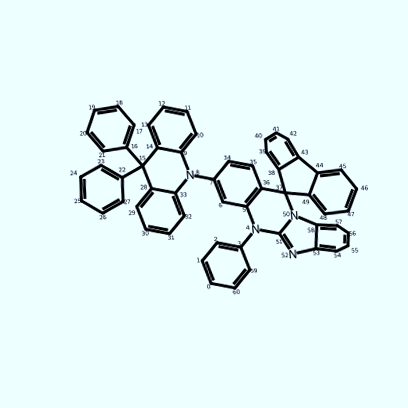 c1ccc(N2c3cc(N4c5ccccc5C(c5ccccc5)(c5ccccc5)c5ccccc54)ccc3C3(c4ccccc4-c4ccccc43)n3c2nc2ccccc23)cc1